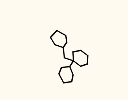 C1CCC(CC2(C3CCCCC3)CCCCC2)CC1